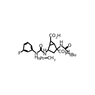 CC(C)(C)OC(=O)NC1(C(=O)O)CC(NC(=O)Nc2cccc(F)c2)C2C(C(=O)O)C21.CCCC